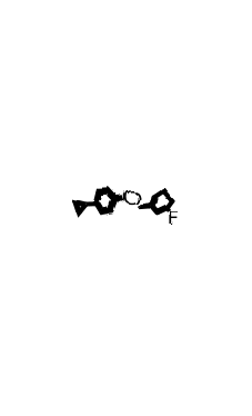 FC1=CC(COc2ccc(C3CC3)cc2)=CCC1